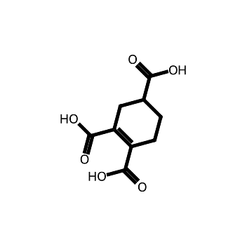 O=C(O)C1=C(C(=O)O)CC(C(=O)O)CC1